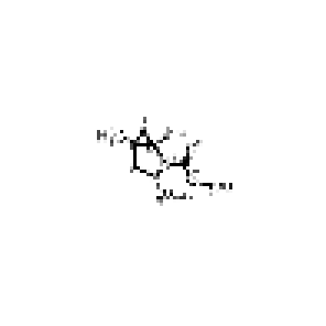 CCOC(=O)[C@@H]1C[C@]2(C)C[C@@H]2N1C(=O)OC(C)(C)C